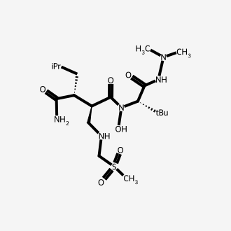 CC(C)C[C@@H](C(N)=O)[C@H](CNCS(C)(=O)=O)C(=O)N(O)[C@H](C(=O)NN(C)C)C(C)(C)C